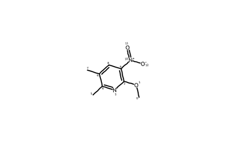 COc1nc(C)c(C)cc1[N+](=O)[O-]